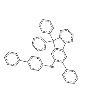 c1ccc(-c2ccc(Nc3cc4c(cc3-c3ccccc3)-c3ccccc3C4(c3ccccc3)c3ccccc3)cc2)cc1